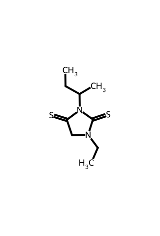 CCC(C)N1C(=S)CN(CC)C1=S